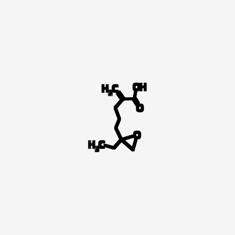 C=C(CCCC1(CC)CO1)C(=O)O